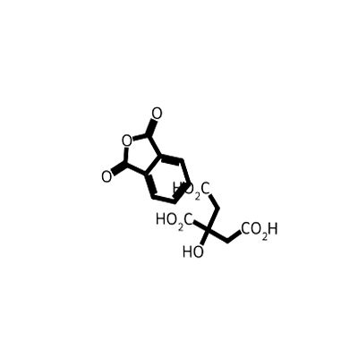 O=C(O)CC(O)(CC(=O)O)C(=O)O.O=C1OC(=O)c2ccccc21